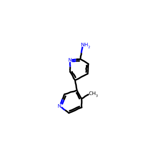 Cc1ccncc1-c1ccc(N)nc1